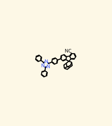 N#Cc1cccc2c1-c1ccc(-c3ccc(-c4nc(-c5ccccc5)nc(-c5ccccc5)n4)cc3)cc1C21C2CC3CC(C2)CC1C3